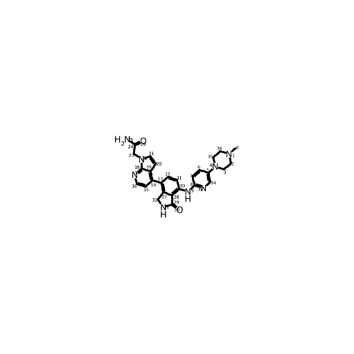 CN1CCN(c2ccc(Nc3ccc(-c4ccnc5c4ccn5CC(N)=O)c4c3C(=O)NC4)nc2)CC1